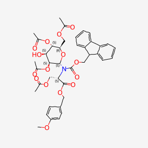 COc1ccc(COC(=O)[C@H](COC(C)=O)N(C(=O)OCC2c3ccccc3-c3ccccc32)[C@H]2O[C@H](COC(C)=O)[C@@H](OC(C)=O)[C@H](O)[C@@H]2OC(C)=O)cc1